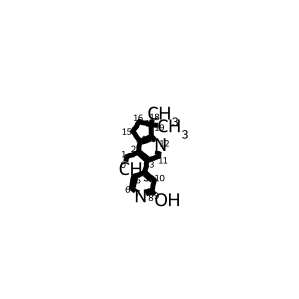 CCc1c(-c2ccnc(O)c2)cnc2c1CCC2(C)C